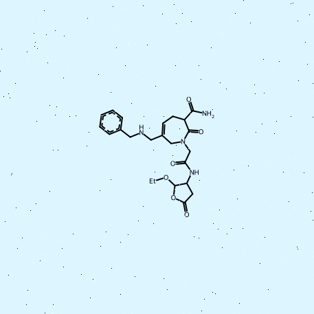 CCOC1OC(=O)CC1NC(=O)CN1CC(CNCc2ccccc2)=CCC(C(N)=O)C1=O